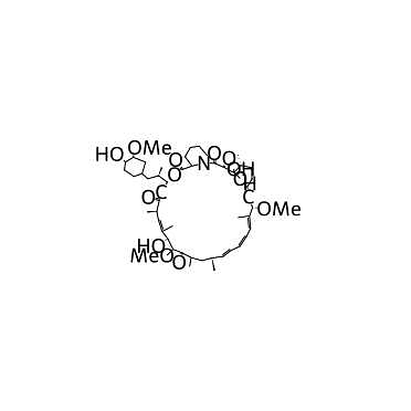 COC1CC(C[C@@H](C)[C@@H]2CC(=O)[C@H](C)/C=C(\C)[C@@H](O)C(OC)C(=O)C(C)C[C@H](C)/C=C/C=C/C=C(\C)[C@@H](OC)C[C@@H]3CC[C@@H](C)C(O)(O3)C(=O)C(=O)N3CCCCC3C(=O)O2)CC[C@H]1O